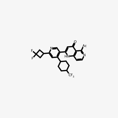 CC(=O)c1nccc2[nH]c(-c3cnc(C4CC(F)(F)C4)cc3C3CCC(C(F)(F)F)CC3)cc(=O)c12